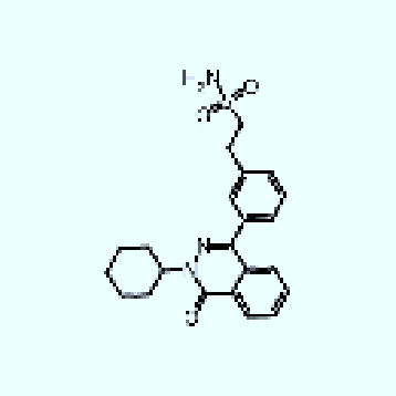 NS(=O)(=O)CCc1cccc(-c2nn(C3CCCCC3)c(=O)c3ccccc23)c1